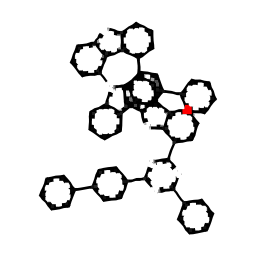 c1ccc(-c2ccc(-c3nc(-c4ccccc4)nc(-c4cccc5c4oc4ccc(-c6cccc7oc8cccc(-n9c%10ccccc%10c%10cc(-c%11ccccc%11)ccc%109)c8c67)cc45)n3)cc2)cc1